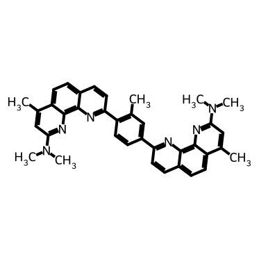 Cc1cc(-c2ccc3ccc4c(C)cc(N(C)C)nc4c3n2)ccc1-c1ccc2ccc3c(C)cc(N(C)C)nc3c2n1